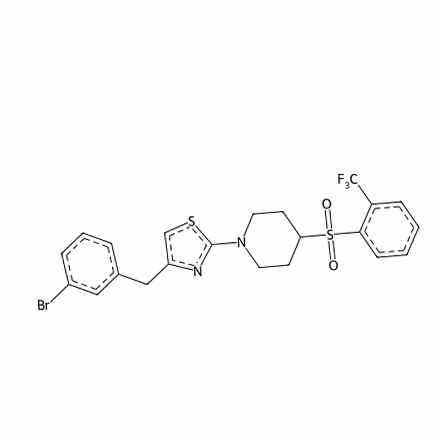 O=S(=O)(c1ccccc1C(F)(F)F)C1CCN(c2nc(Cc3cccc(Br)c3)cs2)CC1